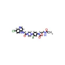 CC(=O)NCC1CN(c2ccc(N3CCN(C(=O)CNc4ccnc5cc(Cl)ccc45)CC3)c(F)c2)C(=O)O1